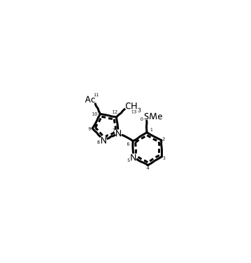 CSc1cccnc1-n1ncc(C(C)=O)c1C